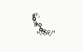 CC(C)(Oc1cccc(C2CCCN(C(=O)COc3ccc(OC(F)(F)F)cc3)C2)c1)C(=O)O